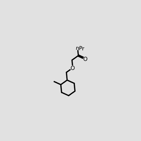 CCCC(=O)COCC1CCCCC1C